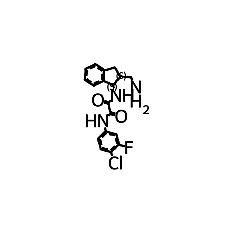 NC[C@@H]1Cc2ccccc2[C@H]1NC(=O)C(=O)Nc1ccc(Cl)c(F)c1